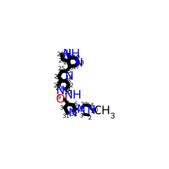 CN1CCN(c2cc(C(=O)Nc3cc4nc(-c5cncc6[nH]ccc56)ccc4cn3)ccn2)CC1